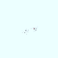 Cc1cc(O[C@H]2C[C@H]3CC[C@@H](C2)N3C)ccc1-n1cnc2cc(C3CC3)sc2c1=O